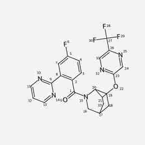 O=C(c1ccc(F)cc1-c1ncccn1)N1CC2CCC1C(Oc1cnc(C(F)(F)F)cn1)C2